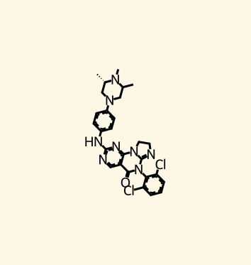 CC1CN(c2ccc(Nc3ncc4c(n3)N3CCN=C3N(c3c(Cl)cccc3Cl)C4=O)cc2)C[C@H](C)N1C